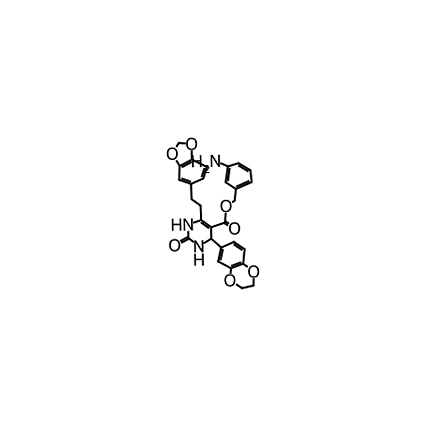 Nc1cccc(COC(=O)C2=C(CCc3ccc4c(c3)OCO4)NC(=O)NC2c2ccc3c(c2)OCCO3)c1